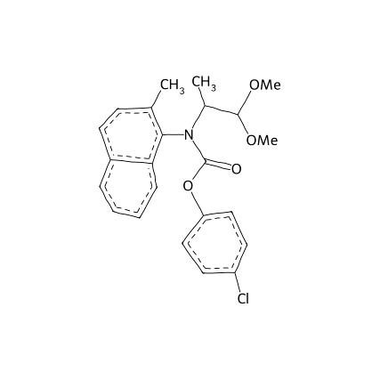 COC(OC)C(C)N(C(=O)Oc1ccc(Cl)cc1)c1c(C)ccc2ccccc12